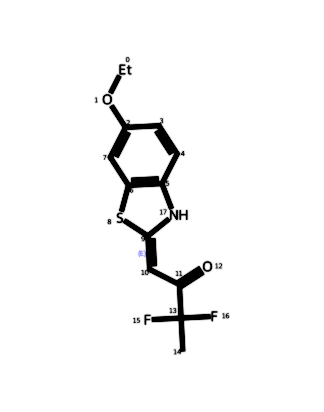 CCOc1ccc2c(c1)S/C(=C/C(=O)C(C)(F)F)N2